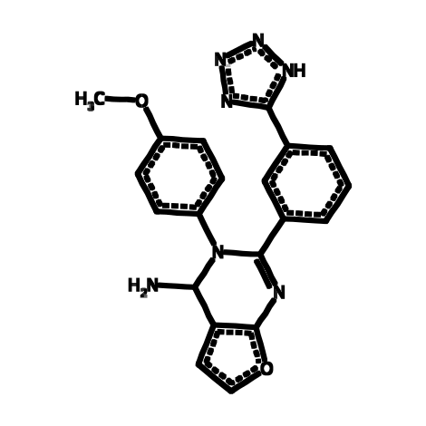 COc1ccc(N2C(c3cccc(-c4nnn[nH]4)c3)=Nc3occc3C2N)cc1